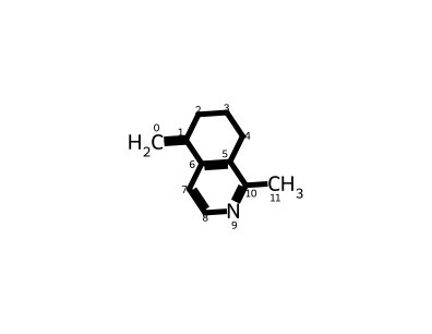 C=C1CCCc2c1ccnc2C